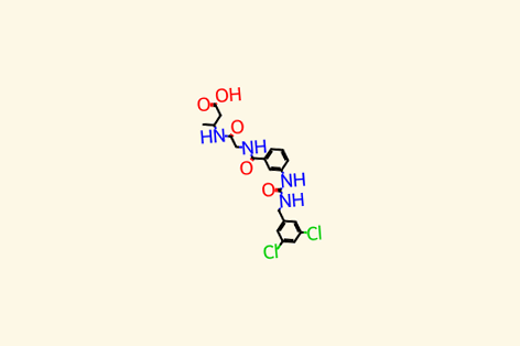 CC(CC(=O)O)NC(=O)CNC(=O)c1cccc(NC(=O)NCc2cc(Cl)cc(Cl)c2)c1